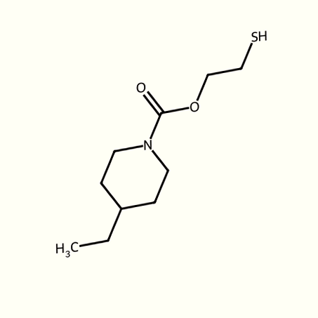 CCC1CCN(C(=O)OCCS)CC1